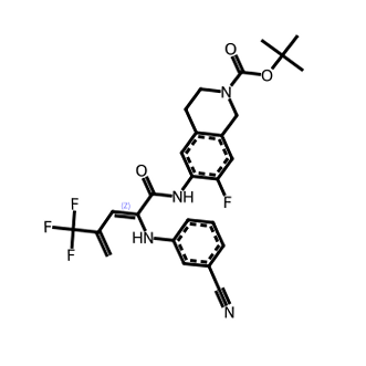 C=C(/C=C(\Nc1cccc(C#N)c1)C(=O)Nc1cc2c(cc1F)CN(C(=O)OC(C)(C)C)CC2)C(F)(F)F